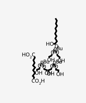 CCCCCCCCCCC(=O)O.CCCCN(OCCO)OCCO.CCCCN(OCCO)OCCO.CCCCN(OCCO)OCCO.O=C(O)CCCCCCCCCC(=O)O